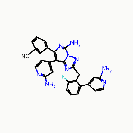 N#Cc1cccc(-c2nc(N)n3nc(Cc4c(F)cccc4-c4ccnc(N)c4)nc3c2-c2ccnc(N)c2)c1